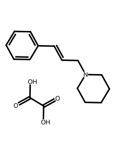 C(=C\c1ccccc1)/CN1CCCCC1.O=C(O)C(=O)O